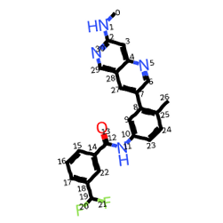 CNc1cc2ncc(-c3cc(NC(=O)c4cccc(C(F)F)c4)ccc3C)cc2cn1